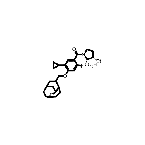 CC[C@H]1CCN(C(=O)c2cc(C3CC3)c(OCC3CC4CC5CCC3C(C5)C4)cc2F)[C@@H]1C(=O)O